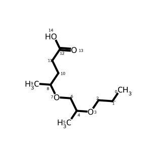 C[CH]COC(C)COC(C)CCC(=O)O